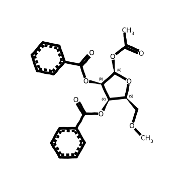 COC[C@@H]1O[C@H](OC(C)=O)[C@H](OC(=O)c2ccccc2)[C@@H]1OC(=O)c1ccccc1